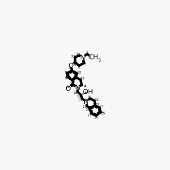 CCN1CCC(Oc2ccc3c(c2)CCN(C[C@H](O)CN2CCc4ccccc4C2)C3=O)CC1